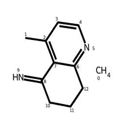 C.Cc1ccnc2c1C(=N)CCC2